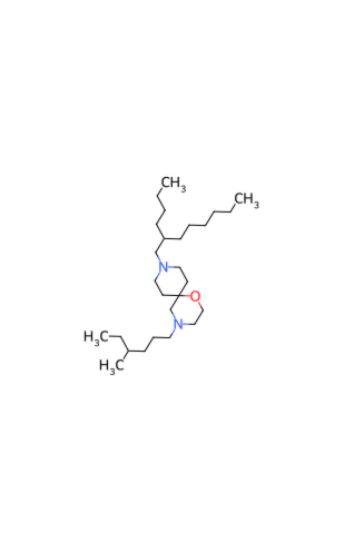 CCCCCCC(CCCC)CN1CCC2(CC1)CN(CCCC(C)CC)CCO2